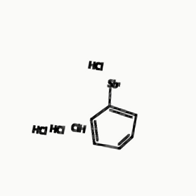 Cl.Cl.Cl.Cl.[Sb][c]1ccccc1